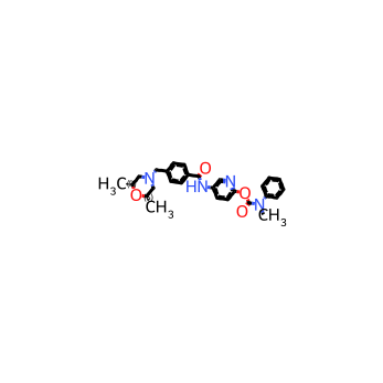 C[C@@H]1CN(Cc2ccc(C(=O)Nc3ccc(OC(=O)N(C)c4ccccc4)nc3)cc2)C[C@H](C)O1